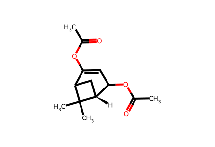 CC(=O)OC1=CC(OC(C)=O)[C@H]2CC1C2(C)C